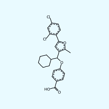 Cc1oc(-c2ccc(Cl)cc2Cl)cc1C(Oc1ccc(C(=O)O)cc1)C1CCCCC1